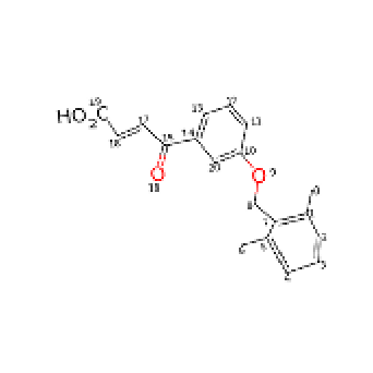 Cc1cccc(C)c1COc1cccc(C(=O)/C=C/C(=O)O)c1